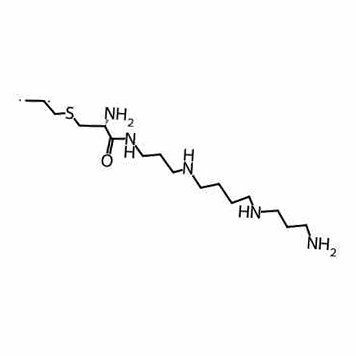 [CH2][CH]CSC[C@H](N)C(=O)NCCCNCCCCNCCCN